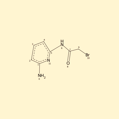 Nc1cccc(NC(=O)CBr)n1